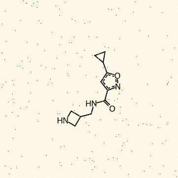 O=C(NCC1CNC1)c1cc(C2CC2)on1